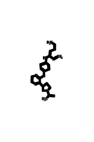 C=N/C(=C\C=C/C)Nc1ccc(Oc2nccnc2C2CCN(C(C)=O)C2)cc1